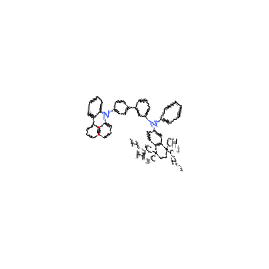 CC1(C)CCC(C)(C)c2cc(N(c3ccccc3)c3cccc(-c4ccc(N(c5ccccc5)c5ccccc5-c5ccccc5)cc4)c3)ccc21